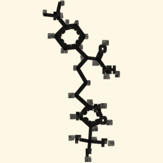 CN(C)c1ccc(C(CCCc2noc(C(F)(F)F)n2)C(N)=O)cc1